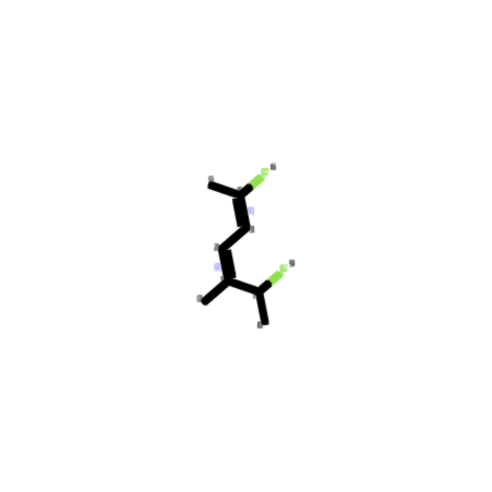 C/C(=C/C=C(\C)F)C(C)F